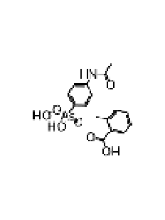 CC(=O)Nc1ccc([As](=O)(O)OO)cc1.Cc1ccccc1C(=O)O